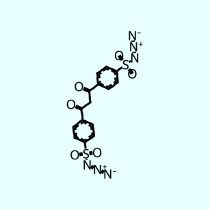 [N-]=[N+]=NS(=O)(=O)c1ccc(C(=O)CC(=O)c2ccc(S(=O)(=O)N=[N+]=[N-])cc2)cc1